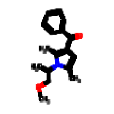 COCC(C)n1c(C)cc(C(=O)c2ccccc2)c1C